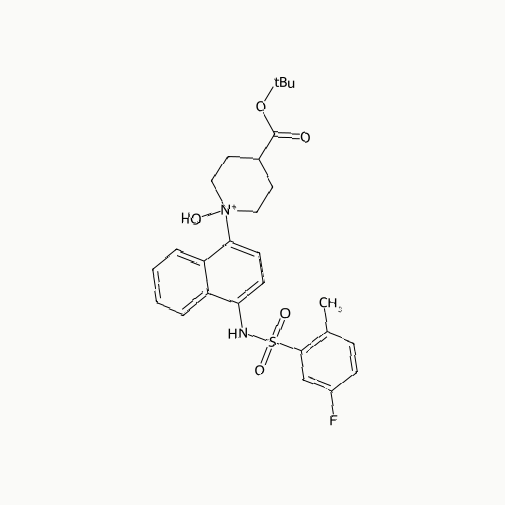 Cc1ccc(F)cc1S(=O)(=O)Nc1ccc([N+]2(O)CCC(C(=O)OC(C)(C)C)CC2)c2ccccc12